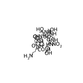 C[C@H](NC(=O)[C@H](Cc1ccc(O)cc1)N[N+](=O)[O-])C(=O)N[C@H](C(=O)N[C@H](C(=O)N[C@@H](Cc1ccccc1)C(=O)N[C@@H](Cc1ccccc1)C(=O)N[C@@H](CCCCN)C(=O)O)[C@@H](C)O)[C@@H](C)O